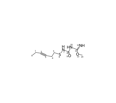 CCC#CCCSNC(=O)NC(=N)OC